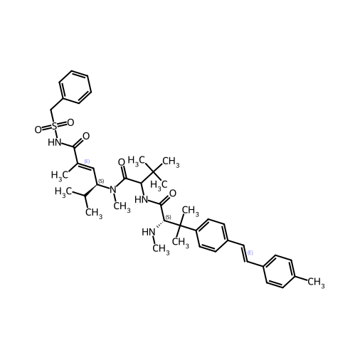 CN[C@H](C(=O)NC(C(=O)N(C)[C@H](/C=C(\C)C(=O)NS(=O)(=O)Cc1ccccc1)C(C)C)C(C)(C)C)C(C)(C)c1ccc(/C=C/c2ccc(C)cc2)cc1